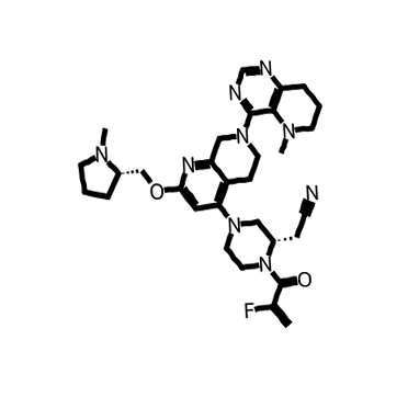 C=C(F)C(=O)N1CCN(c2cc(OC[C@@H]3CCCN3C)nc3c2CCN(c2ncnc4c2N(C)CCC4)C3)C[C@@H]1CC#N